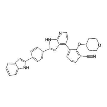 N#Cc1cccc(-c2ccnc3[nH]c(-c4ccc(-c5cc6ccccc6[nH]5)cc4)cc23)c1OC1CCOCC1